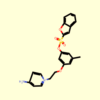 Cc1cc(OCC[n+]2ccc(N)cc2)cc(OS(=O)(=O)c2cc3ccccc3o2)c1